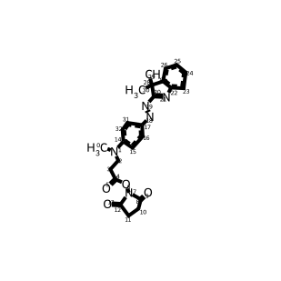 CN(CCC(=O)ON1C(=O)CCC1=O)c1ccc(N=NC2=Nc3ccccc3C2(C)C)cc1